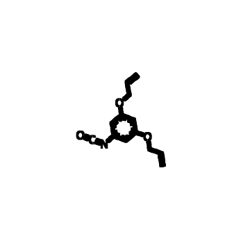 C=CCOc1cc(N=C=O)cc(OCC=C)c1